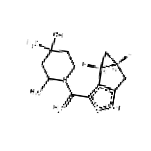 C=C(c1n[nH]c2c1[C@@H]1C[C@@H]1C2)N1CCC(C)(O)CC1C